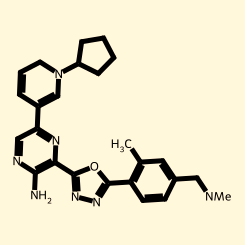 CNCc1ccc(-c2nnc(-c3nc(C4=CN(C5CCCC5)CC=C4)cnc3N)o2)c(C)c1